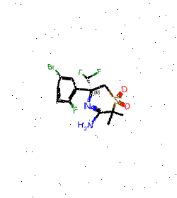 CC1(C)C(N)=N[C@](c2cc(Br)ccc2F)(C(F)F)CS1(=O)=O